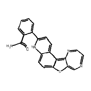 NC(=O)c1ccccc1C1=CC=c2c(ccc3sc4c(c23)N=CC=NC=4)N1